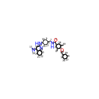 Cc1cc(C(=O)NCC2CCC(Nc3cc(N(C)C)c4ccccc4n3)CC2)cc(C)c1OCc1ccccc1